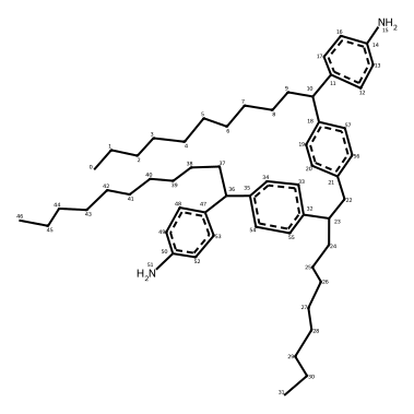 CCCCCCCCCCC(c1ccc(N)cc1)c1ccc(CC(CCCCCCCC)c2ccc(C(CCCCCCCCCC)c3ccc(N)cc3)cc2)cc1